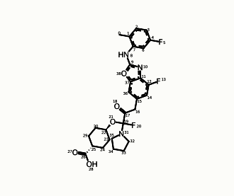 Cc1ccc(F)cc1Nc1nc2c(F)cc(CC(=O)C(F)(O[C@H]3CC[C@H](C(=O)O)CC3)N3CCCC3)cc2o1